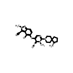 CN1C(=C=O)C(Sc2ccc3nn(C)c(C#N)c3c2Cl)=CN=C1N1CCC2(CCC[C@H]2N)CC1